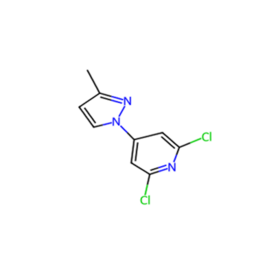 Cc1ccn(-c2cc(Cl)nc(Cl)c2)n1